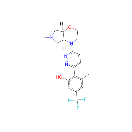 Cc1cc(C(F)(F)F)cc(O)c1-c1ccc(N2CCO[C@@H]3CN(C)C[C@@H]32)nn1